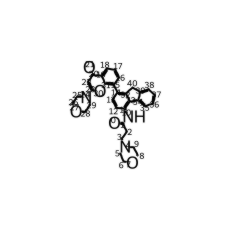 O=C(CCN1CCOCC1)Nc1ccc(-c2cccc3c(=O)cc(N4CCOCC4)oc23)c2c1-c1ccccc1C2